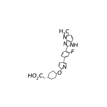 Cc1ccc2[nH]c(-c3ccc(-c4ccc(O[C@H]5CC[C@@H](CC(=O)O)CC5)nc4)cc3F)nc2n1